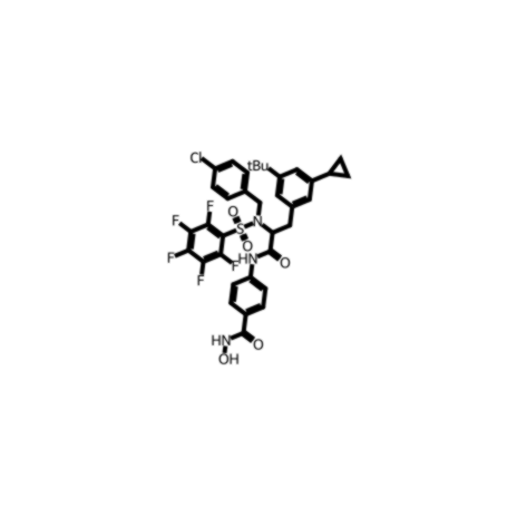 CC(C)(C)c1cc(CC(C(=O)Nc2ccc(C(=O)NO)cc2)N(Cc2ccc(Cl)cc2)S(=O)(=O)c2c(F)c(F)c(F)c(F)c2F)cc(C2CC2)c1